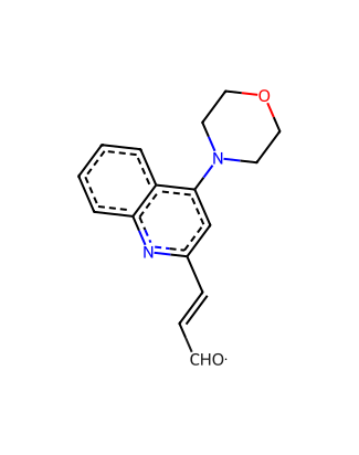 O=[C]C=Cc1cc(N2CCOCC2)c2ccccc2n1